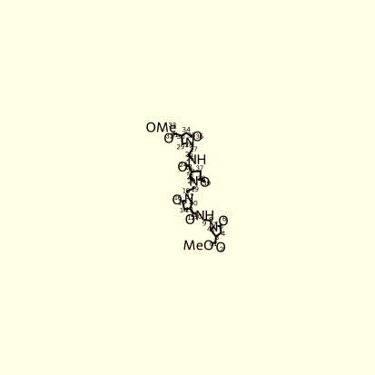 COC(=O)C1CC(=O)N(CCNC(=O)C2CC(=O)N(CCN3CC(C(=O)NCCN4CC(C(=O)OC)CC4=O)CC3=O)C2)C1